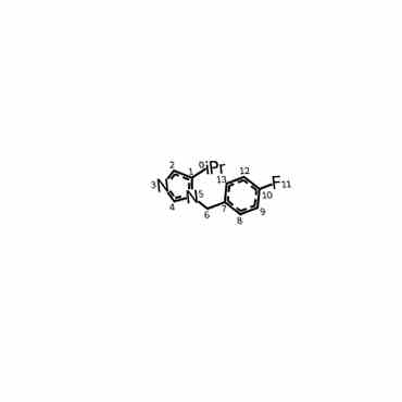 CC(C)c1cncn1Cc1ccc(F)cc1